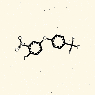 O=[N+]([O-])c1cc(Oc2ccc(C(F)(F)F)cc2)ccc1F